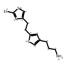 CCc1nc(CCc2cc(CCCN)cs2)cs1